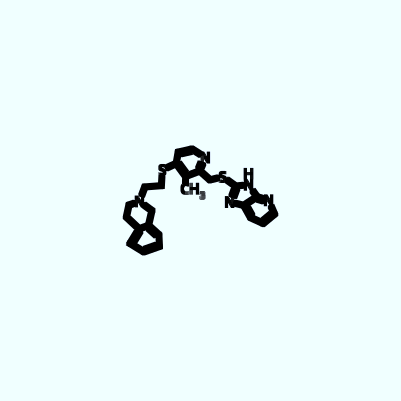 Cc1c(SCCN2CCc3ccccc3C2)ccnc1CSc1nc2cccnc2[nH]1